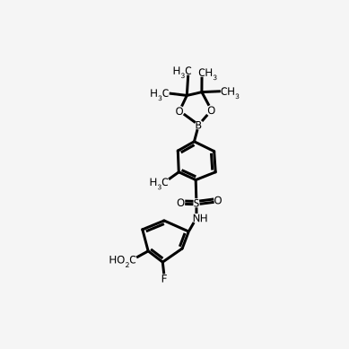 Cc1cc(B2OC(C)(C)C(C)(C)O2)ccc1S(=O)(=O)Nc1ccc(C(=O)O)c(F)c1